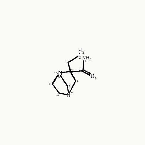 CCC1(C(N)=O)CN2CCN1CC2